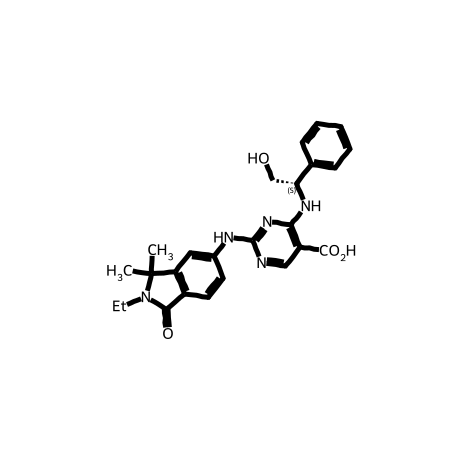 CCN1C(=O)c2ccc(Nc3ncc(C(=O)O)c(N[C@H](CO)c4ccccc4)n3)cc2C1(C)C